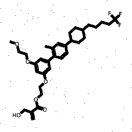 C=C(CO)C(=O)OCCOc1cc(OCCOC)cc(-c2ccc(C3CCC(CCCCC(F)(F)F)CC3)cc2C)c1